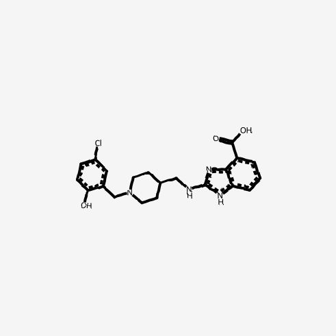 O=C(O)c1cccc2[nH]c(NCC3CCN(Cc4cc(Cl)ccc4O)CC3)nc12